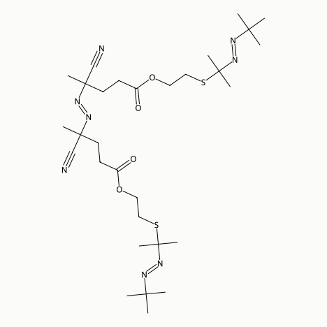 CC(C)(C)/N=N/C(C)(C)SCCOC(=O)CCC(C)(C#N)/N=N/C(C)(C#N)CCC(=O)OCCSC(C)(C)/N=N/C(C)(C)C